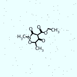 CCOC(=O)C1C(=O)C(C)ON(C)C1=O